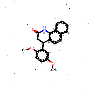 COc1ccc(OC)c(C2CC(=O)Nc3c2ccc2ccccc32)c1